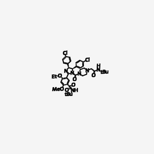 CCOc1cc(OC)c(S(=O)(=O)NC(C)(C)C)cc1C1=N[C@@H](c2ccc(Cl)cc2)[C@@H](c2ccc(Cl)cc2)N1C(=O)N1CCN(CC(=O)NC(C)(C)C)CC1